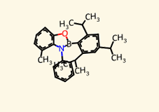 Cc1cccc2c1N(c1ccccc1)B(c1c(C(C)C)cc(C(C)C)cc1C(C)C)O2